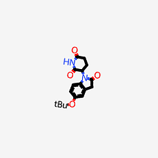 CC(C)(C)Oc1ccc2c(c1)CC(=O)N2C1CCC(=O)NC1=O